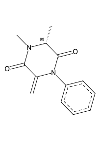 C=C1C(=O)N(C)[C@H](C)C(=O)N1c1ccccc1